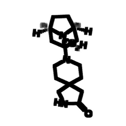 O=C1CC2(CCN(C3C[C@H]4CC[C@@H](C3)N4C(=O)O)CC2)CN1